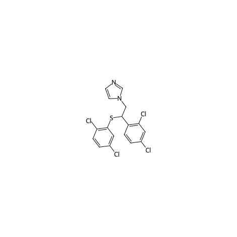 Clc1ccc(C(Cn2ccnc2)Sc2cc(Cl)ccc2Cl)c(Cl)c1